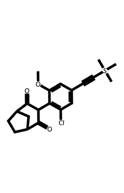 COc1cc(C#CS(C)(C)C)cc(Cl)c1C1C(=O)C2CCC(C2)C1=O